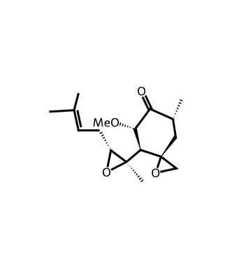 CO[C@@H]1C(=O)[C@H](C)C[C@]2(CO2)[C@H]1[C@@]1(C)O[C@@H]1CC=C(C)C